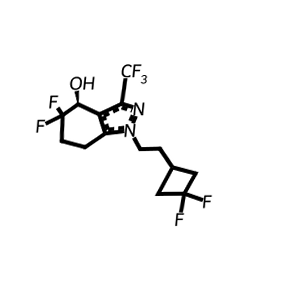 O[C@H]1c2c(C(F)(F)F)nn(CCC3CC(F)(F)C3)c2CCC1(F)F